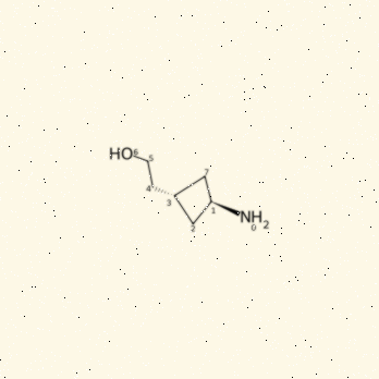 N[C@H]1C[C@H](CCO)C1